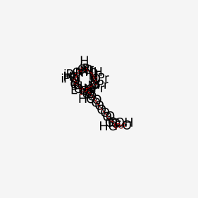 C/C=C/C[C@@H](C)C(OC(=O)OCOC(=O)CCC(=O)OCCOCCOCCOCCOC(=O)CCC(=O)OCC(=O)[C@@]1(O)[C@@H](C)CC2C3CCC4=CC(=O)C=C[C@]4(C)[C@@]3(F)[C@@H](O)C[C@@]21C)C1C(=O)NC(CC)C(=O)N(C)CC(=O)N(C)[C@@H](CC(C)C)C(=O)NC(C(C)C)C(=O)N(C)C(CC(C)C)C(=O)NC(C)C(=O)NC(C)C(=O)N(C)C(CC(C)C)C(=O)N(C)C(CC(C)C)C(=O)N(C)C(C(C)C)C(=O)N1C